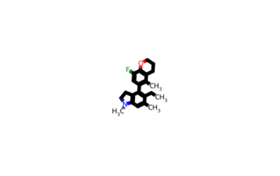 CCc1c(C)cc2c(c1-c1cc(F)c3c(c1C)CCCO3)CCN2C